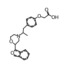 CC(Cc1ccc(OCC(=O)O)cc1)N1CCOC(c2occ3ccccc23)C1